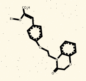 CCO/C(=C\c1ccc(OCCN2C(=O)COc3ccccc32)cc1)C(=O)O